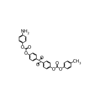 Cc1ccc(OC(=O)Oc2ccc(S(=O)(=O)c3ccc(OC(=O)Oc4ccc(N)cc4)cc3)cc2)cc1